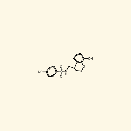 N#Cc1ccc(S(=O)(=O)NCC2CCOc3c(O)cccc32)cc1